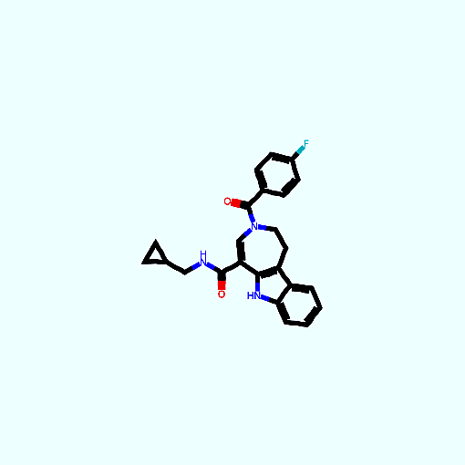 O=C(NCC1CC1)C1=CN(C(=O)c2ccc(F)cc2)CCc2c1[nH]c1ccccc21